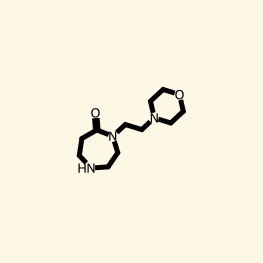 O=C1CCNCCN1CCN1CCOCC1